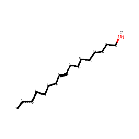 CCCCCCC/C=C/CCCCCCCCO